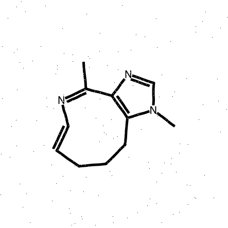 C/C1=N/C=C/CCCc2c1ncn2C